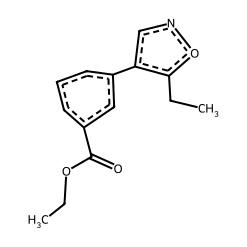 CCOC(=O)c1cccc(-c2cnoc2CC)c1